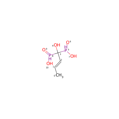 CC=CC(O)([PH](=O)O)[PH](=O)O